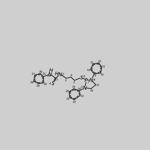 S=C(NCCCSP1N(c2ccccc2)CCN1c1ccccc1)Nc1ccccc1